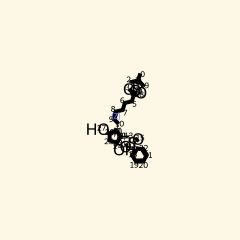 CC12COC(CCC/C=C\C[C@@H]3[C@@H](CS(=O)(=O)c4ccccc4)[C@H](O)C[C@@H]3O)(OC1)OC2